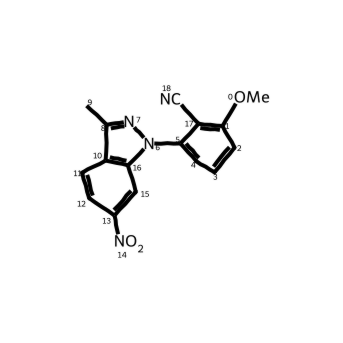 COc1cccc(-n2nc(C)c3ccc([N+](=O)[O-])cc32)c1C#N